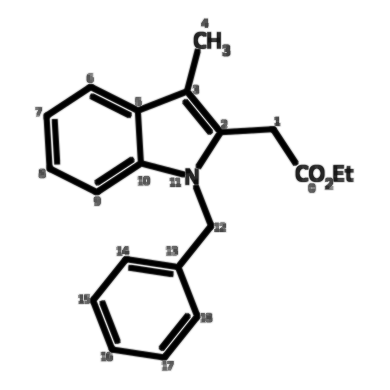 CCOC(=O)Cc1c(C)c2ccccc2n1Cc1ccccc1